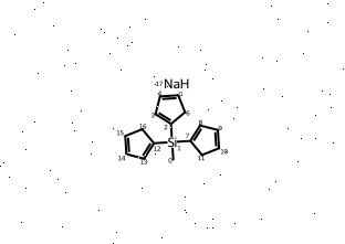 C[Si](C1=CC=CC1)(C1=CC=CC1)C1=CC=CC1.[NaH]